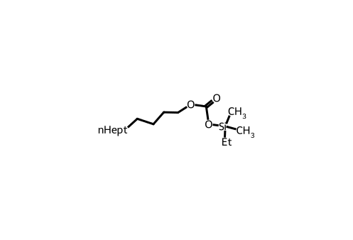 CCCCCCCCCCCOC(=O)O[Si](C)(C)CC